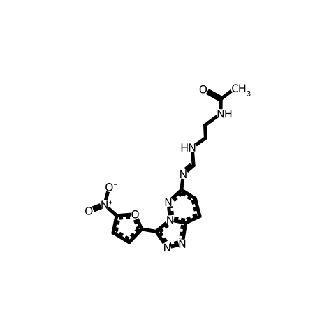 CC(=O)NCCNC=Nc1ccc2nnc(-c3ccc([N+](=O)[O-])o3)n2n1